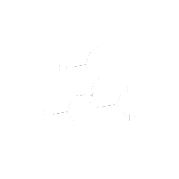 CC(C)C(C)O[SiH](OC(C)C(C)C)OC(C)C(C)C